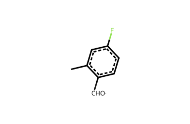 Cc1cc(F)ccc1[C]=O